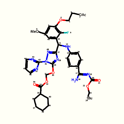 COc1cc(OCCOC(C)=O)c(F)c(C(Nc2ccc(C(N)=NC(=O)OCC(C)(C)C)cc2)c2nc(OCOC(=O)C3CCCCC3)n(-c3ncccn3)n2)c1